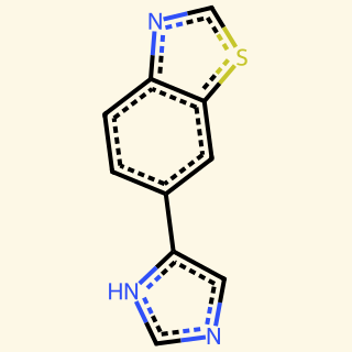 c1ncc(-c2ccc3ncsc3c2)[nH]1